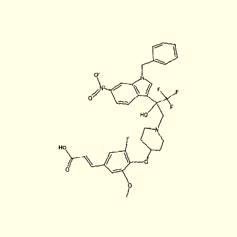 COc1cc(C=CC(=O)O)cc(F)c1OC1CCN(CC(O)(c2cn(Cc3ccccc3)c3cc([N+](=O)[O-])ccc23)C(F)(F)F)CC1